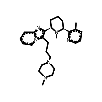 Cc1cccnc1[C@@H]1CCC[C@H](c2nc3ccccn3c2CCCN2CCN(C)CC2)N1C